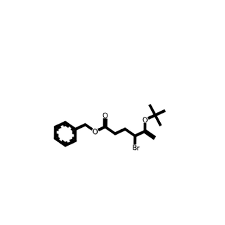 C=C(OC(C)(C)C)C(Br)CCC(=O)OCc1ccccc1